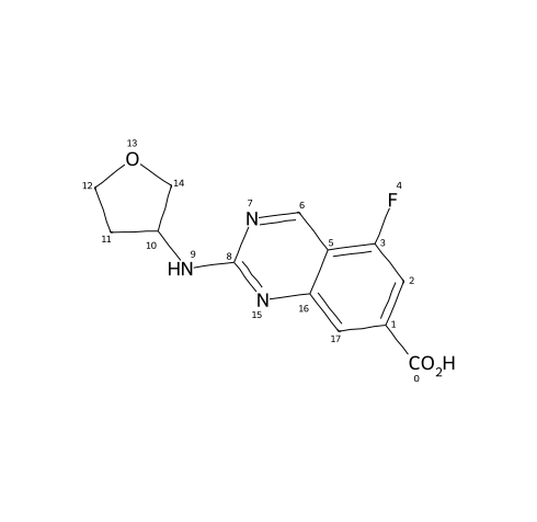 O=C(O)c1cc(F)c2cnc(NC3CCOC3)nc2c1